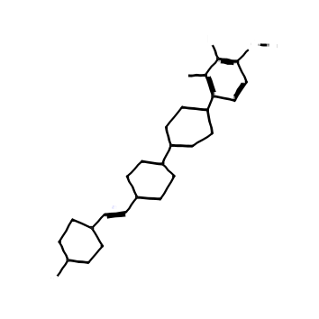 CCCC1CCC(/C=C/C2CCC(C3CCC(c4ccc(OCC)c(F)c4F)CC3)CC2)CC1